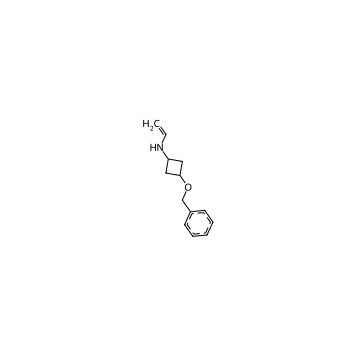 C=CNC1CC(OCc2ccccc2)C1